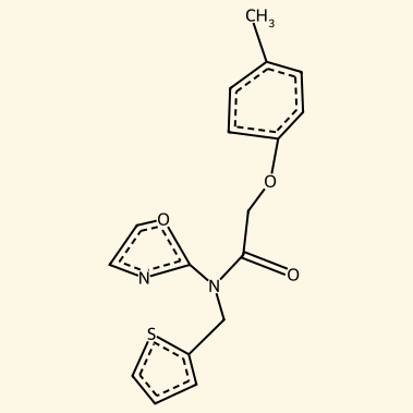 Cc1ccc(OCC(=O)N(Cc2cccs2)c2ncco2)cc1